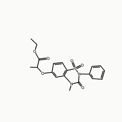 CCOC(=O)C(C)Oc1ccc2c(c1)N(C)C(=O)N(c1ccccc1)S2(=O)=O